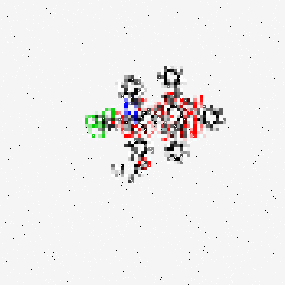 COc1ccc(O[C@H]2O[C@@H](COCc3ccccc3)[C@H](O[C@H]3O[C@@H](CO)[C@H](OCc4ccccc4)[C@@H](O)[C@H]3OCc3ccccc3)[C@@H](OCc3ccccc3)[C@@H]2NC(=O)OCC(Cl)(Cl)Cl)cc1